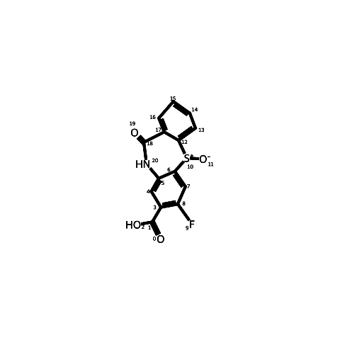 O=C(O)c1cc2c(cc1F)[S+]([O-])c1ccccc1C(=O)N2